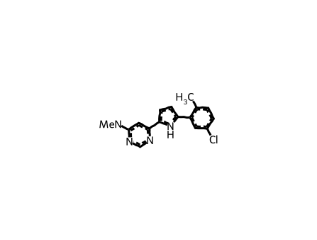 CNc1cc(-c2ccc(-c3cc(Cl)ccc3C)[nH]2)ncn1